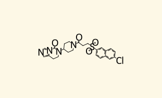 O=C(CCS(=O)(=O)c1ccc2cc(Cl)ccc2c1)N1CCC(N2CCc3cncn3C2=O)CC1